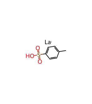 Cc1ccc(S(=O)(=O)O)cc1.[La]